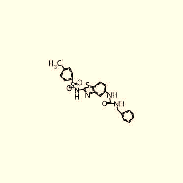 Cc1ccc(S(=O)(=O)Nc2nc3cc(NC(=O)NCc4ccccc4)ccc3s2)cc1